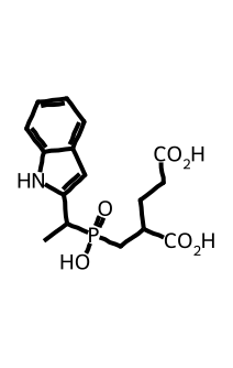 CC(c1cc2ccccc2[nH]1)P(=O)(O)CC(CCC(=O)O)C(=O)O